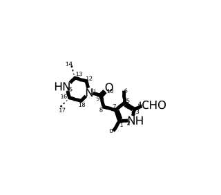 Cc1[nH]c(C=O)c(C)c1CC(=O)N1C[C@@H](C)N[C@@H](C)C1